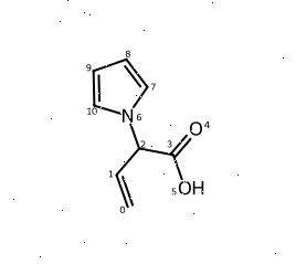 C=CC(C(=O)O)n1cccc1